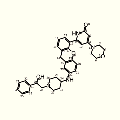 O=c1cc(N2CCOCC2)cc(-c2cccc3c2Oc2ccc(NC4CCN(CC(O)c5ccccc5)CC4)cc2C3)[nH]1